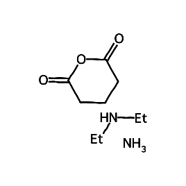 CCNCC.N.O=C1CCCC(=O)O1